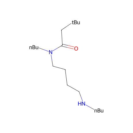 CCCCNCCCCN(CCCC)C(=O)CC(C)(C)C